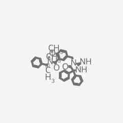 COc1ccc(CN2C(=N)NC(c3ccccc3)(c3ccccc3)C2=O)cc1C(=O)N(C)[C@H](C)c1ccccc1